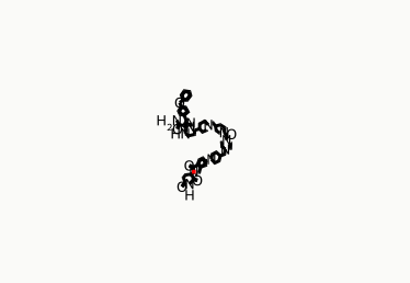 NC(=O)c1c(-c2ccc(Oc3ccccc3)cc2)nn2c1NCCC2C1CCN(CC2CCN(C(=O)N3CCN(CC4CCN(c5ccc6c(c5)CN(C5CCC(=O)NC5=O)C6=O)CC4)CC3)CC2)CC1